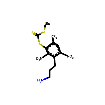 CC(C)(C)SC(=S)Sc1c(C(F)(F)F)cc([N+](=O)[O-])c(CCCN)c1[N+](=O)[O-]